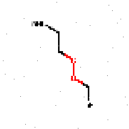 CCCCCCOOCC(C)C